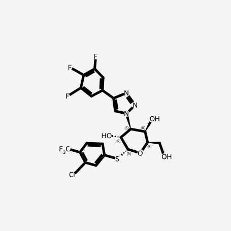 OC[C@H]1O[C@H](Sc2ccc(C(F)(F)F)c(Cl)c2)[C@H](O)[C@@H](n2cc(-c3cc(F)c(F)c(F)c3)nn2)[C@H]1O